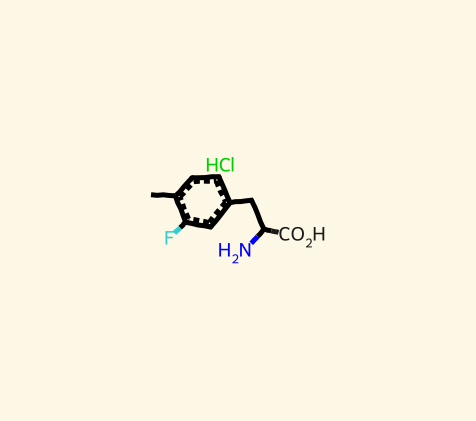 Cc1ccc(CC(N)C(=O)O)cc1F.Cl